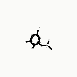 Cc1c(F)cc(I)cc1CN(C)C